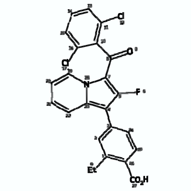 CCc1cc(-c2c(F)c(C(=O)c3c(Cl)cccc3Cl)n3ccccc23)ccc1C(=O)O